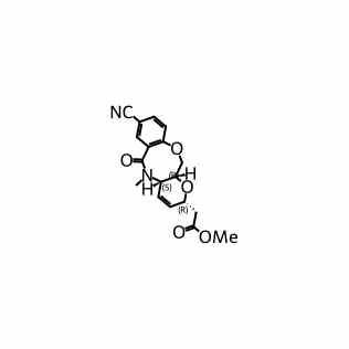 COC(=O)C[C@@H]1C=C[C@H]2[C@H](COc3ccc(C#N)cc3C(=O)N2C)O1